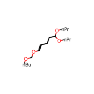 CCCCOCOC=CCCC(OCCC)OCCC